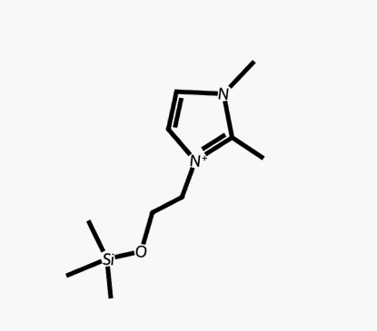 Cc1n(C)cc[n+]1CCO[Si](C)(C)C